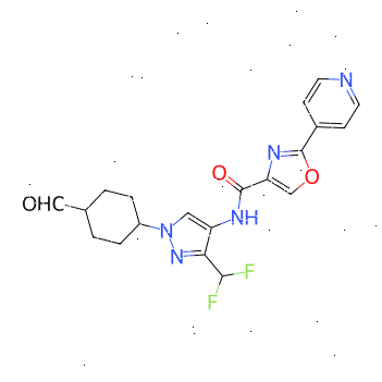 O=CC1CCC(n2cc(NC(=O)c3coc(-c4ccncc4)n3)c(C(F)F)n2)CC1